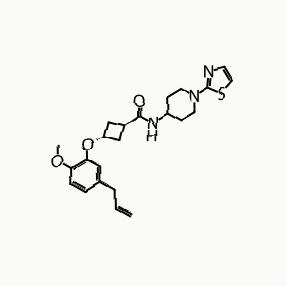 C=CCc1ccc(OC)c(O[C@H]2C[C@H](C(=O)NC3CCN(c4nccs4)CC3)C2)c1